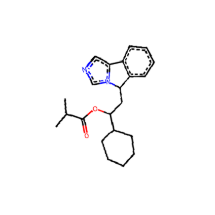 CC(C)C(=O)OC(CC1c2ccccc2-c2cncn21)C1CCCCC1